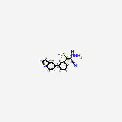 N#C/C(NN)=C(/N)c1cccc(-c2ccc3[nH]ccc3c2)c1